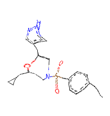 Cc1ccc(S(=O)(=O)N2CC(c3cn[nH]c3)OC(C3CC3)C2)cc1